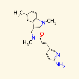 Cc1ccc2c(c1)c(CN(C)C(=O)/C=C/c1ccc(N)nc1)cn2C